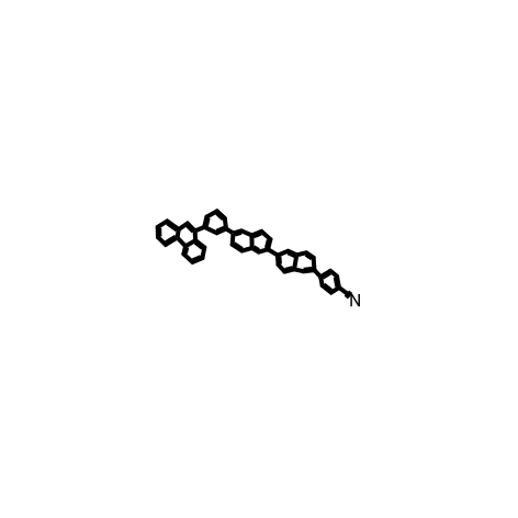 N#Cc1ccc(-c2ccc3cc(-c4ccc5cc(-c6cccc(-c7cc8ccccc8c8ccccc78)c6)ccc5c4)ccc3c2)cc1